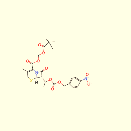 CC1=C(C(=O)OCOC(=O)C(C)(C)C)N2C(=O)[C@H](C(C)OC(=O)OCc3ccc([N+](=O)[O-])cc3)[C@H]2SC1